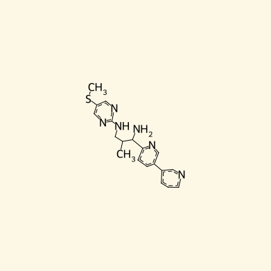 CSc1cnc(NCC(C)C(N)c2ccc(-c3cccnc3)cn2)nc1